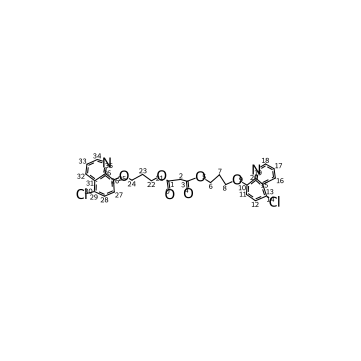 O=C(CC(=O)OCCCOc1ccc(Cl)c2cccnc12)OCCCOc1ccc(Cl)c2cccnc12